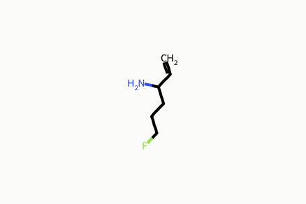 C=CC(N)CCCF